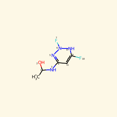 CC(O)NC1=NN(F)NC(F)=C1